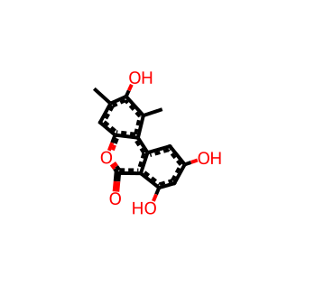 Cc1cc2oc(=O)c3c(O)cc(O)cc3c2c(C)c1O